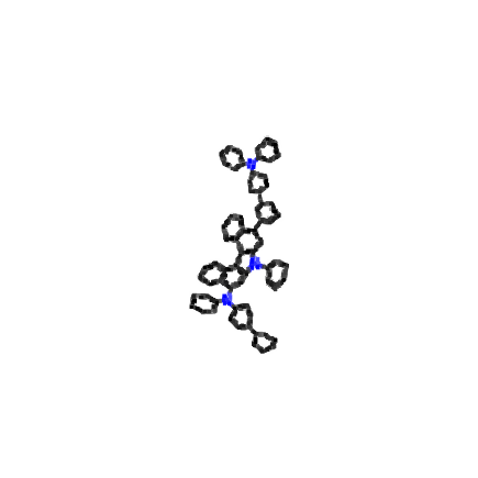 c1ccc(-c2ccc(N(c3ccccc3)c3cc4c(c5ccccc35)c3c5ccccc5c(-c5cccc(-c6ccc(N(c7ccccc7)c7ccccc7)cc6)c5)cc3n4-c3ccccc3)cc2)cc1